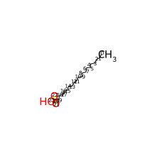 CCCCCCCCCCCCCCCCC=CCCS(=O)(=O)O